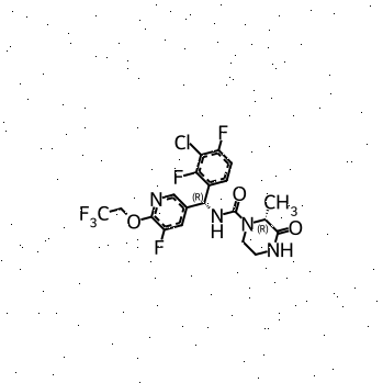 C[C@@H]1C(=O)NCCN1C(=O)N[C@H](c1cnc(OCC(F)(F)F)c(F)c1)c1ccc(F)c(Cl)c1F